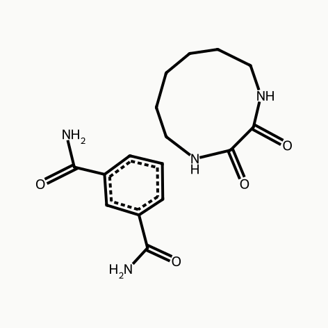 NC(=O)c1cccc(C(N)=O)c1.O=C1NCCCCCCNC1=O